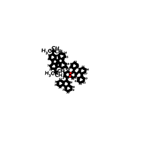 CC(C)(C)c1ccc2c(c1)C1(c3ccccc3-c3cc(N(c4ccc(-c5cc6ccccc6c6ccccc56)cc4)c4ccccc4-c4ccccc4-c4ccccc4-c4ccccc4)ccc31)c1cc(C(C)(C)C)ccc1-2